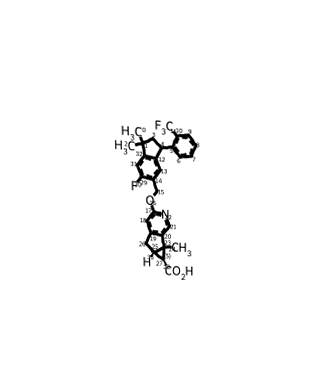 CC1(C)CC(c2ccccc2C(F)(F)F)c2cc(COc3cc4c(cn3)C3(C)[C@@H](C4)[C@@H]3C(=O)O)c(F)cc21